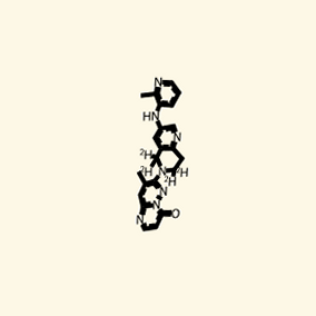 [2H]C1([2H])Cc2ncc(Nc3cccnc3C)cc2C([2H])([2H])N1c1nn2c(=O)ccnc2cc1C